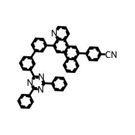 N#Cc1ccc(-c2cc3c4cccnc4c(-c4cccc(-c5cccc(-c6nc(-c7ccccc7)nc(-c7ccccc7)n6)c5)c4)cc3c3ccccc23)cc1